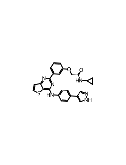 O=C(COc1cccc(-c2nc(Nc3ccc(-c4cn[nH]c4)cc3)c3sccc3n2)c1)NC1CC1